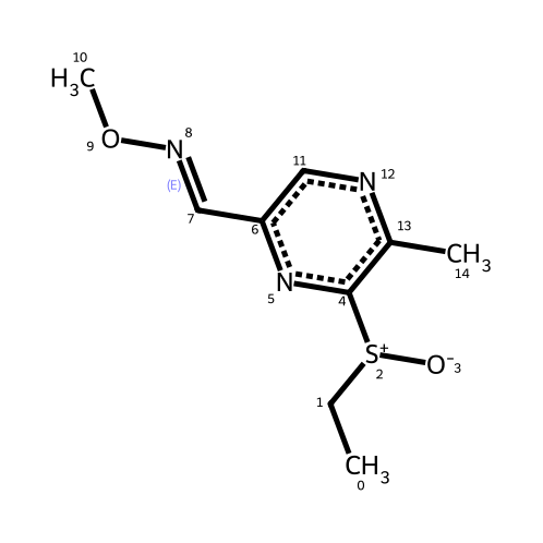 CC[S+]([O-])c1nc(/C=N/OC)cnc1C